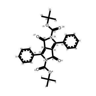 CC(C)(C)OC(=O)N1C(=O)C2=C(c3ccccc3)N(C(=O)OC(C)(C)C)C(=O)C2=C1c1ccccc1